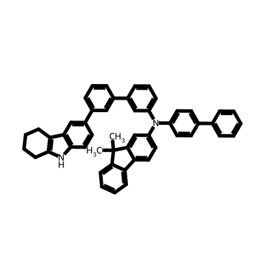 CC1(C)c2ccccc2-c2ccc(N(c3ccc(-c4ccccc4)cc3)c3cccc(-c4cccc(-c5ccc6[nH]c7c(c6c5)CCCC7)c4)c3)cc21